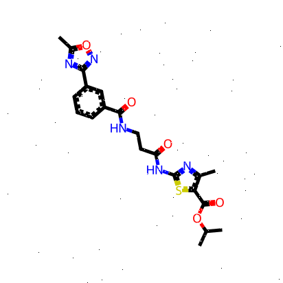 Cc1nc(-c2cccc(C(=O)NCCC(=O)Nc3nc(C)c(C(=O)OC(C)C)s3)c2)no1